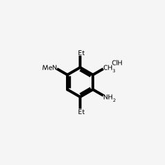 CCc1cc(NC)c(CC)c(C)c1N.Cl